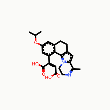 CC1=NCCn2c1cc1c2-c2c(cc(OC(C)C)cc2C(=CC(=O)O)C(=O)O)CC1